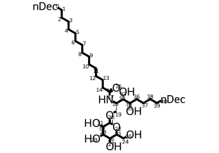 CCCCCCCCCCCCCCCCCCCCCCCCC(=O)N[C@@H](COC1OC(CO)C(O)C(O)C1O)[C@H](O)[C@H](O)CCCCCCCCCCCCCC